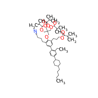 C=C(C)C(=O)OCCCc1cc(-c2ccc(C3CCC(CCCCC)CC3)cc2CC)cc(CCCC#N)c1OCC(COC(=O)C(=C)C)(COC(=O)C(=C)C)COC(=O)C(=C)C